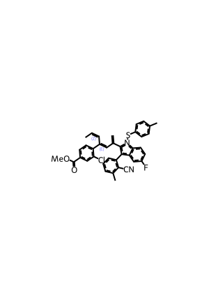 C=C(/C=C(\C=C/C)c1ccc(C(=O)OC)cc1Cl)c1c(-c2cccc(C)c2C#N)c2cc(F)ccc2n1Sc1ccc(C)cc1